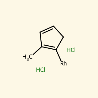 CC1=[C]([Rh])CC=C1.Cl.Cl